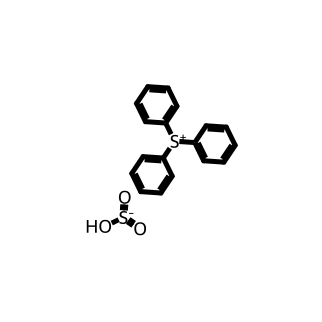 O=[S-](=O)O.c1ccc([S+](c2ccccc2)c2ccccc2)cc1